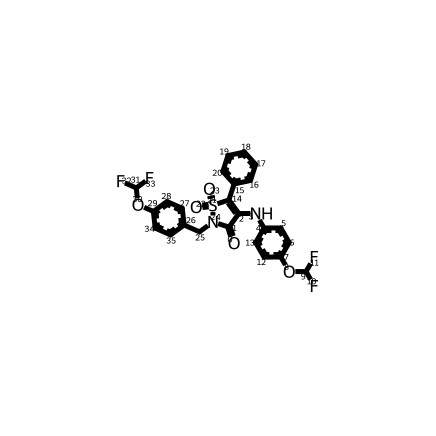 O=C1C(Nc2ccc(OC(F)F)cc2)=C(c2ccccc2)S(=O)(=O)N1Cc1ccc(OC(F)F)cc1